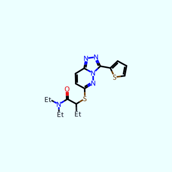 CCC(Sc1ccc2nnc(-c3cccs3)n2n1)C(=O)N(CC)CC